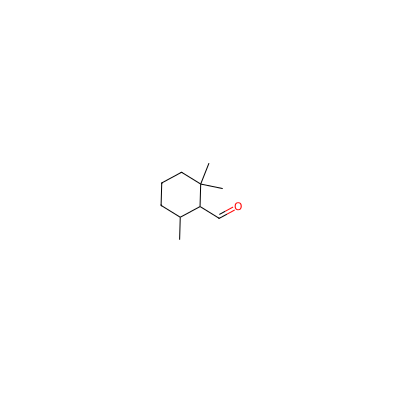 CC1CCCC(C)(C)C1C=O